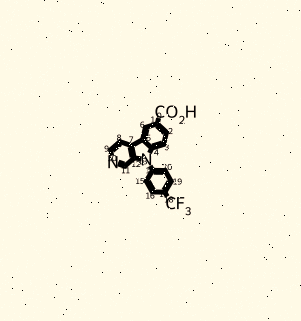 O=C(O)c1ccc2c(c1)c1ccncc1n2-c1ccc(C(F)(F)F)cc1